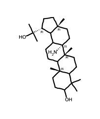 CC1(C)C(O)CC[C@@]2(C)C1CC[C@]1(C)C2CCC2C3[C@H](C(C)(C)O)CC[C@]3(C)CC[C@]21N